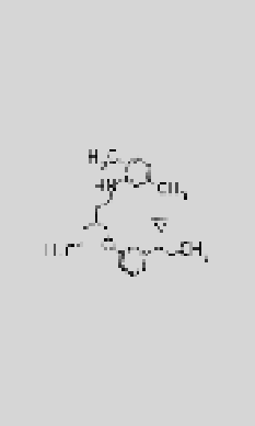 CCCC(CCNc1cc(C)ccc1C)COc1cccc(C(CC)C2CC2)c1